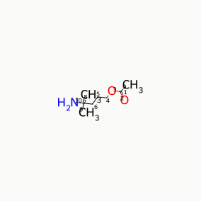 CC(=O)OCCCC(C)(C)N